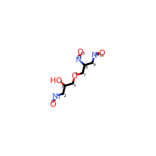 O=NCC(O)COCC(CN=O)N=O